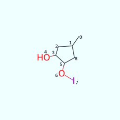 CC1CC(O)C(OI)C1